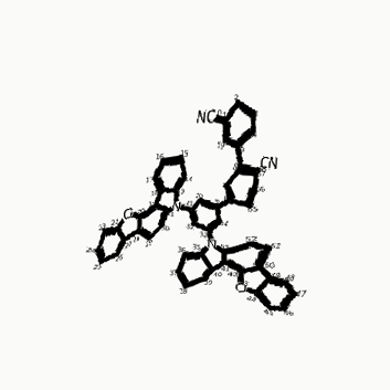 N#Cc1cccc(-c2cc(-c3cc(-n4c5ccccc5c5c6oc7ccccc7c6ccc54)cc(-n4c5ccccc5c5c6oc7ccccc7c6ccc54)c3)ccc2C#N)c1